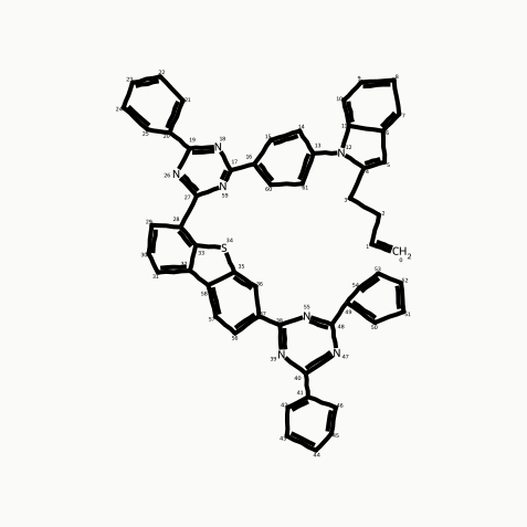 C=CCCc1cc2ccccc2n1-c1ccc(-c2nc(-c3ccccc3)nc(-c3cccc4c3sc3cc(-c5nc(-c6ccccc6)nc(-c6ccccc6)n5)ccc34)n2)cc1